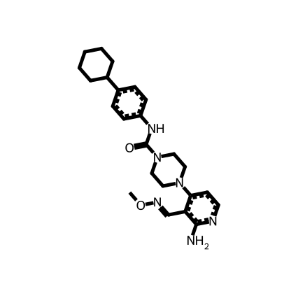 CO/N=C/c1c(N2CCN(C(=O)Nc3ccc(C4CCCCC4)cc3)CC2)ccnc1N